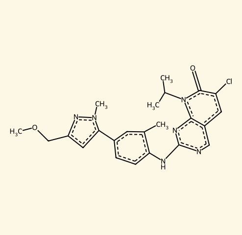 COCc1cc(-c2ccc(Nc3ncc4cc(Cl)c(=O)n(C(C)C)c4n3)c(C)c2)n(C)n1